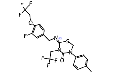 Cc1ccc(N2CS/C(=N/Cc3ccc(OCC(F)(F)F)c(F)c3)N(CC(F)(F)F)C2=O)cc1